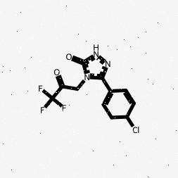 O=C(Cn1c(C2=CCC(Cl)C=C2)n[nH]c1=O)C(F)(F)F